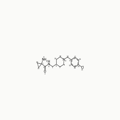 NC1(C(=O)NCC2CCN(Cc3ccc(Cl)cc3)CC2)CC1